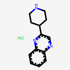 Cl.c1ccc2nc(C3CCNCC3)cnc2c1